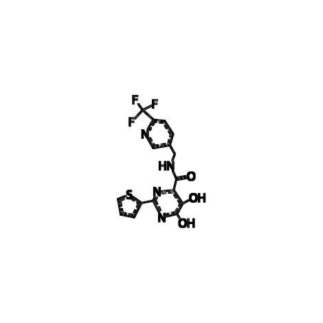 O=C(NCc1ccc(C(F)(F)F)nc1)c1nc(-c2cccs2)nc(O)c1O